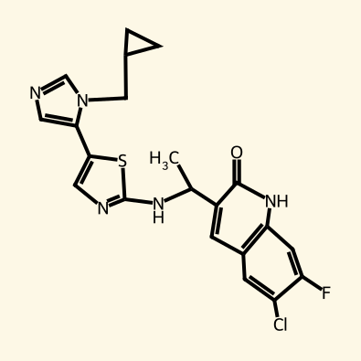 CC(Nc1ncc(-c2cncn2CC2CC2)s1)c1cc2cc(Cl)c(F)cc2[nH]c1=O